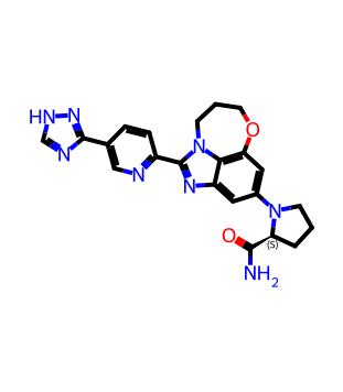 NC(=O)[C@@H]1CCCN1c1cc2c3c(c1)nc(-c1ccc(-c4nc[nH]n4)cn1)n3CCCO2